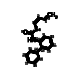 C=C/C=C\SC(=O)Nc1ccccc1-c1ccccc1